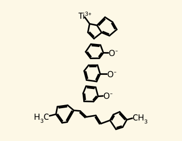 Cc1ccc(C=CC=Cc2ccc(C)cc2)cc1.[O-]c1ccccc1.[O-]c1ccccc1.[O-]c1ccccc1.[Ti+3][CH]1C=Cc2ccccc21